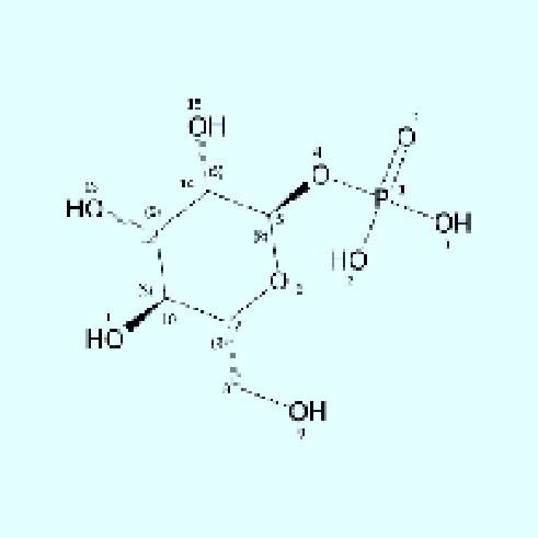 O=P(O)(O)O[C@H]1O[C@H](CO)[C@@H](O)[C@H](O)[C@@H]1O